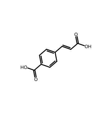 O=C(O)C=Cc1ccc(C(=O)O)cc1